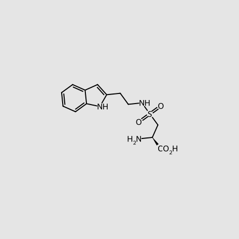 N[C@@H](CS(=O)(=O)NCCc1cc2ccccc2[nH]1)C(=O)O